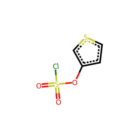 O=S(=O)(Cl)Oc1ccsc1